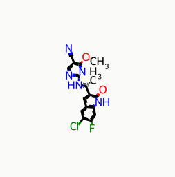 COc1nc(N[C@H](C)c2cc3cc(Cl)c(F)cc3[nH]c2=O)ncc1C#N